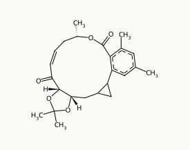 Cc1cc(C)c2c(c1)C1CC1C[C@@H]1OC(C)(C)O[C@@H]1C(=O)/C=C\C[C@H](C)OC2=O